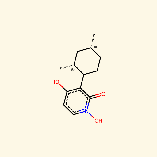 C[C@@H]1CCC(c2c(O)ccn(O)c2=O)[C@H](C)C1